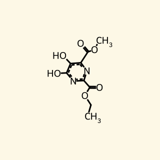 CCOC(=O)c1nc(O)c(O)c(C(=O)OC)n1